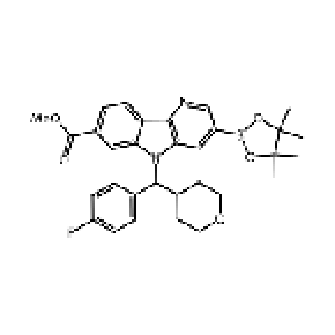 COC(=O)c1ccc2c3ncc(B4OC(C)(C)C(C)(C)O4)cc3n(C(c3ccc(F)cc3)C3CCOCC3)c2c1